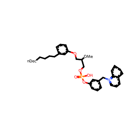 CCCCCCCCCCCCCCc1cccc(OCC(COP(=O)(O)Oc2cccc(C[n+]3cccc4ccccc43)c2)OC)c1